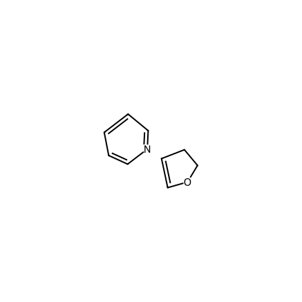 C1=COCC1.c1ccncc1